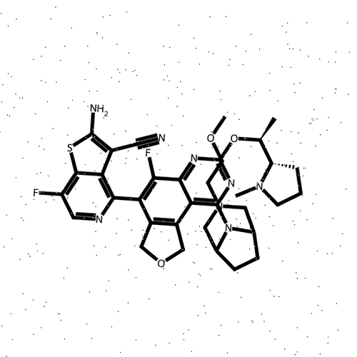 COCCN1CC2CCC(C1)N2c1nc(O[C@@H](C)[C@@H]2CCCN2C)nc2c(F)c(-c3ncc(F)c4sc(N)c(C#N)c34)c3c(c12)COC3